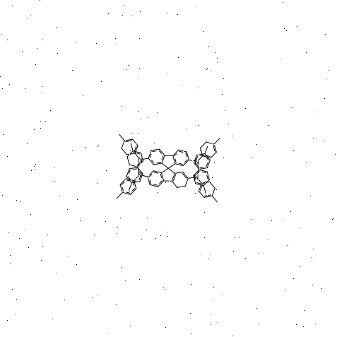 CC1=CC=C(N(C2=CC3=C(CC2)c2ccc(N(C4=CC=C(C)CC4)c4ccc(C)cc4)cc2C32c3cc(N(C4=CC=C(C)CC4)c4ccc(C)cc4)ccc3-c3ccc(N(C4=CC=C(C)CC4)c4ccc(C)cc4)cc32)c2ccc(C)cc2)CC1